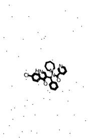 O=C(c1cccnc1)N(C(c1ccccc1)c1c[nH]c2cc(Cl)ccc2c1=O)N1CCCCCC1